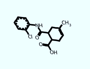 CC1=CCC(C(=O)O)C(C(=O)Nc2ccccc2Cl)C1